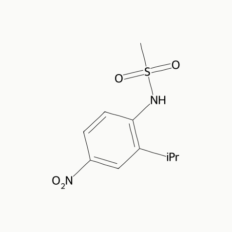 CC(C)c1cc([N+](=O)[O-])ccc1NS(C)(=O)=O